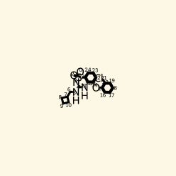 O=S1(=O)N=C(NCC2CCC2)Nc2c(Oc3ccccc3Cl)cccc21